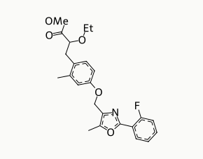 CCOC(Cc1ccc(OCc2nc(-c3ccccc3F)oc2C)cc1C)C(=O)OC